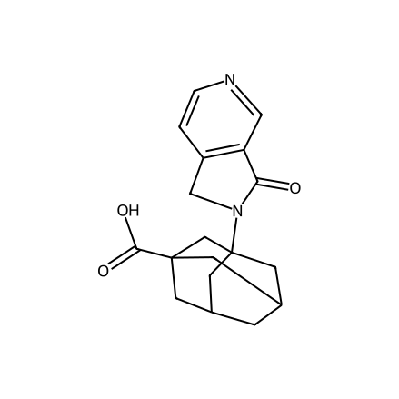 O=C1c2cnccc2CN1C12CC3CC(CC(C(=O)O)(C3)C1)C2